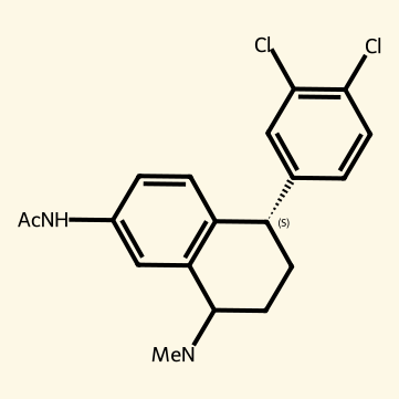 CNC1CC[C@@H](c2ccc(Cl)c(Cl)c2)c2ccc(NC(C)=O)cc21